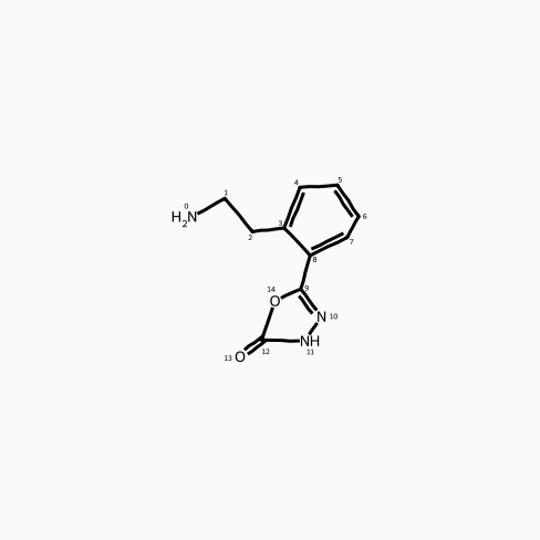 NCCc1ccccc1-c1n[nH]c(=O)o1